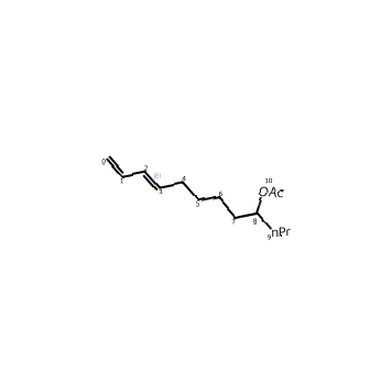 C=C/C=C/CCCCC(CCC)OC(C)=O